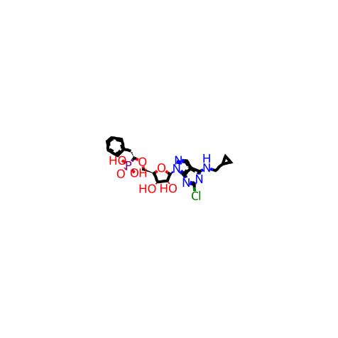 O=P(O)(O)[C@H](Cc1ccccc1)OC[C@H]1O[C@@H](n2ncc3c(NCC4CC4)nc(Cl)nc32)[C@H](O)[C@@H]1O